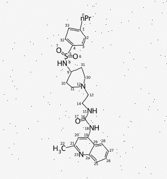 CCCc1ccc(S(=O)(=O)NC2CCN(CCNC(=O)Nc3cc(C)nc4ccccc34)CC2)cc1